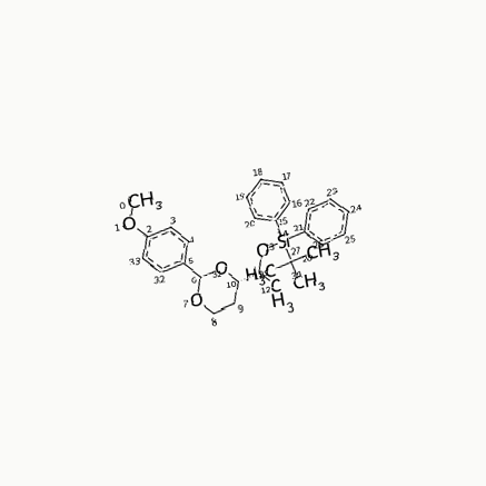 COc1ccc(C2OCC[C@@H](C(C)O[Si](c3ccccc3)(c3ccccc3)C(C)(C)C)O2)cc1